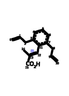 C=CCc1cccc(CC=C)c1/C=C(\C)C(=O)O